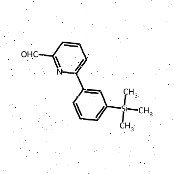 C[Si](C)(C)c1cccc(-c2cccc(C=O)n2)c1